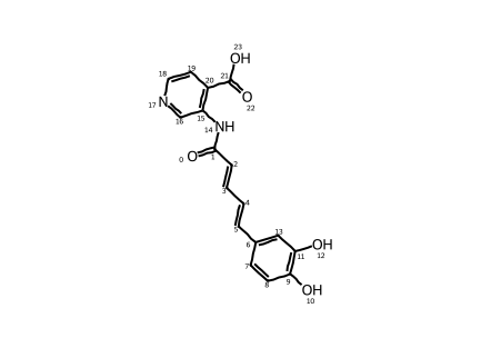 O=C(/C=C/C=C/c1ccc(O)c(O)c1)Nc1cnccc1C(=O)O